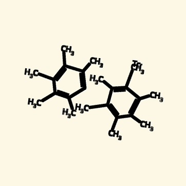 Cc1c(C)c(C)c(C)c(C)c1C.Cc1cc(C)c(C)c(C)c1C.[Tc]